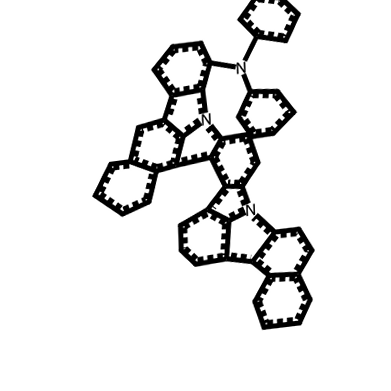 c1ccc(N(c2ccccc2)c2cccc3c4cc5ccccc5c5c6c7c8cccc9c%10c%11ccccc%11ccc%10n(c7ccc6n(c23)c45)c98)cc1